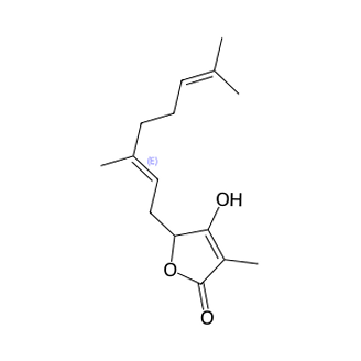 CC(C)=CCC/C(C)=C/CC1OC(=O)C(C)=C1O